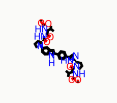 COC(=O)N[C@H](C(=O)NC(=O)[C@@H]1CCCN1c1ccc2[nH]c(-c3ccc(-c4cnc([C@@H]5CCCN5C(=O)[C@@H](NC(=O)OC)C(C)C)[nH]4)cc3)cc2c1)C(C)C